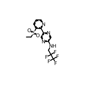 CCS(=O)(=O)c1cccnc1-c1cnc(NCC(F)(F)C(F)(F)F)cn1